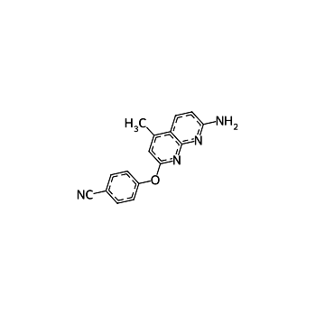 Cc1cc(Oc2ccc(C#N)cc2)nc2nc(N)ccc12